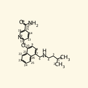 CC(C)CCNCc1ccc(Oc2ccc(C(N)=O)cn2)c2ccccc12